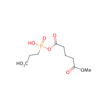 COC(=O)CCCC(=O)OP(=O)(O)CCC(=O)O